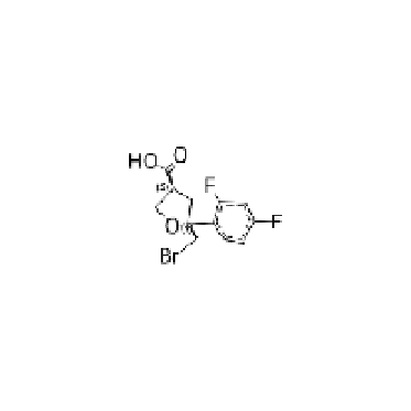 O=C(O)[C@@H]1CO[C@@](CBr)(c2ccc(F)cc2F)C1